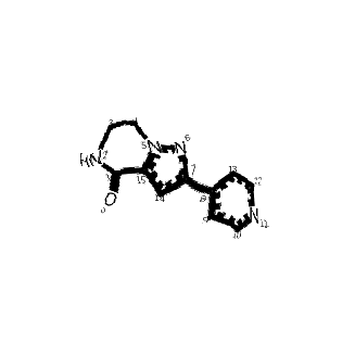 O=C1NCCn2nc(-c3ccncc3)cc21